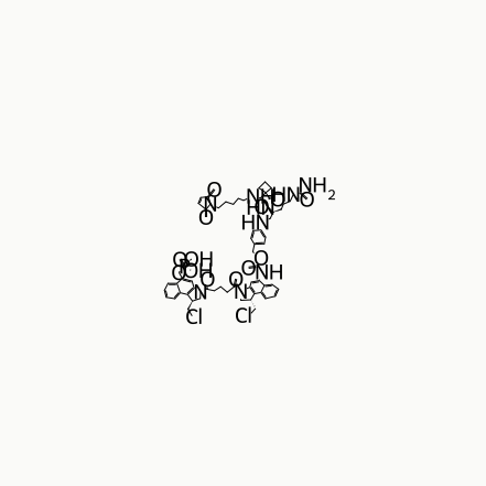 NC(=O)NCCC[C@@H](CNc1ccc(COC(=O)Nc2cc3c(c4ccccc24)[C@H](CCl)CN3C(=O)CCCC(=O)N2C[C@@H](CCl)c3c2cc(OP(=O)(O)O)c2ccccc32)cc1)NC(=O)C1(C(=O)NCCCCCN2C(=O)C=CC2=O)CCC1